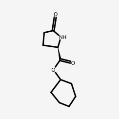 O=C1CC[C@H](C(=O)OC2CCCCC2)N1